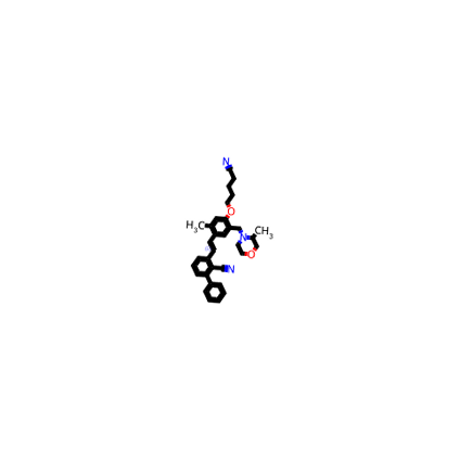 Cc1cc(OCCCCC#N)c(CN2CCOCC2C)cc1/C=C/c1cccc(-c2ccccc2)c1C#N